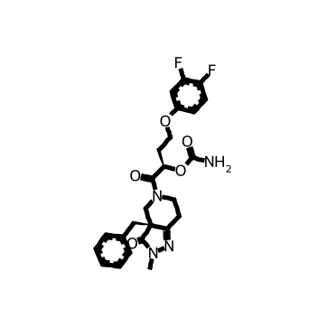 CN1N=C2CCN(C(=O)[C@@H](CCOc3ccc(F)c(F)c3)OC(N)=O)C[C@@]2(Cc2ccccc2)C1=O